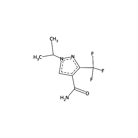 CC(C)n1cc(C(N)=O)c(C(F)(F)F)n1